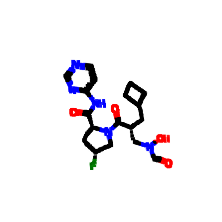 O=CN(O)C[C@@H](CC1CCC1)C(=O)N1C[C@H](F)C[C@H]1C(=O)Nc1ccncn1